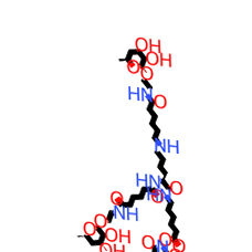 C[C@H]1C[C@@H](O)[C@H](O)[C@H](OCCNC(=O)CCCCCNCCCC[C@H](NC(=O)CCCCC(=O)NCCO[C@@H]2O[C@@H](C)C[C@@H](O)[C@@H]2O)C(=O)NCCCCCC(=O)ON2C(=O)CCC2=O)O1